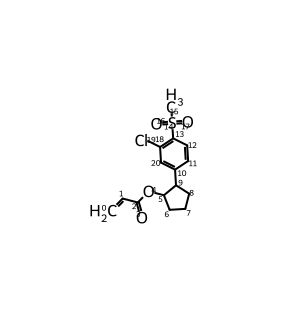 C=CC(=O)OC1CCCC1c1ccc(S(C)(=O)=O)c(Cl)c1